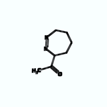 CC(=O)C1CCCCN=N1